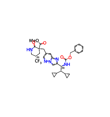 COC(=O)C1(Cc2cnn3cc([C@@H](NC(=O)OCc4ccccc4)C(C4CC4)C4CC4)nc3c2)C[C@H](C(F)(F)F)CNC1=O